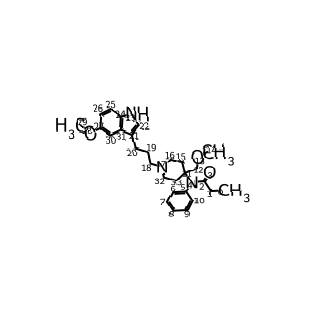 CCC(=O)N(c1ccccc1)C1(COC)CCN(CCCc2c[nH]c3ccc(OC)cc23)CC1